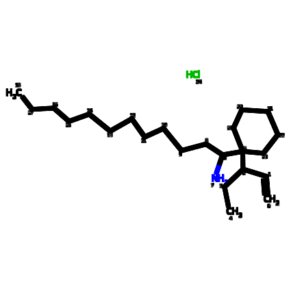 C=CC(CC)C1(C(N)CCCCCCCCCCC)CCCCC1.Cl